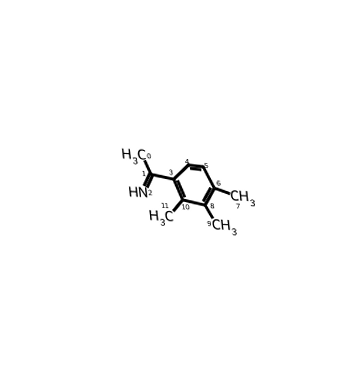 CC(=N)c1ccc(C)c(C)c1C